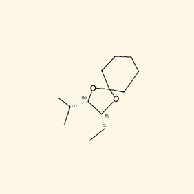 CC[C@H]1OC2(CCCCC2)O[C@H]1C(C)C